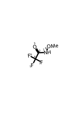 CONC(=O)C(F)(F)F